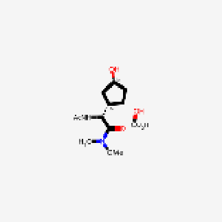 CON(C)C(=O)C(NC(C)=O)[C@H]1CC[C@H](O)C1.O=C(O)O